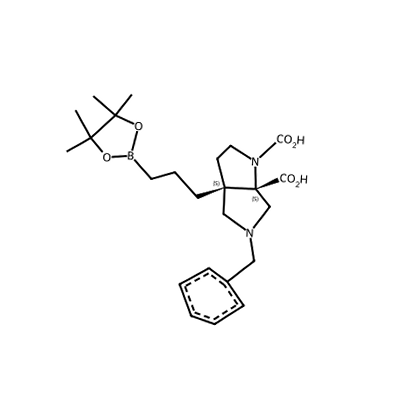 CC1(C)OB(CCC[C@@]23CCN(C(=O)O)[C@]2(C(=O)O)CN(Cc2ccccc2)C3)OC1(C)C